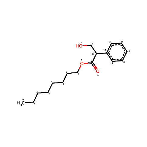 CCCCCCCCOC(=O)C(CO)c1ccccc1